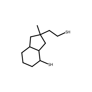 CC1(CCS)CC2CCCC(S)C2C1